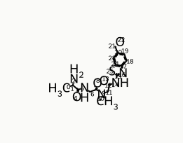 CC(N)C(=O)NCC(=O)N(C)CC(=O)Nc1nc2ccc(C=O)cc2s1